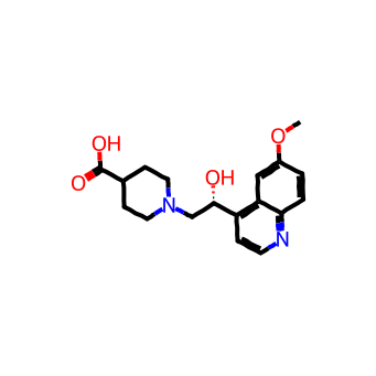 COc1ccc2nccc([C@@H](O)CN3CCC(C(=O)O)CC3)c2c1